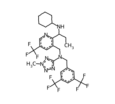 CCC(NC1CCCCC1)c1ncc(C(F)(F)F)cc1CN(Cc1cc(C(F)(F)F)cc(C(F)(F)F)c1)c1nnn(C)n1